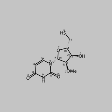 CO[C@@H]1[C@H](O)[C@@H](CS)O[C@H]1n1ccc(=O)[nH]c1=O